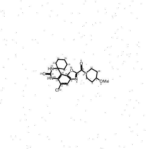 COC1CCN(C(=O)c2nc3cc(Cl)c4c(c3o2)C2(CCCCC2)NC(=O)N4)CC1